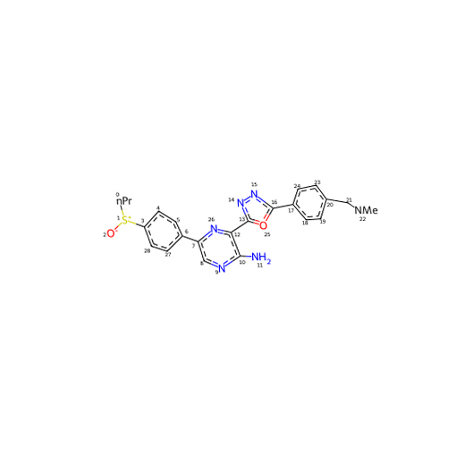 CCC[S+]([O-])c1ccc(-c2cnc(N)c(-c3nnc(-c4ccc(CNC)cc4)o3)n2)cc1